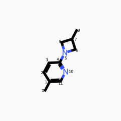 Cc1ccc(N2CC(C)C2)nc1